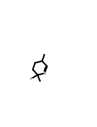 CC1C=NC(C)(F)CC1